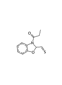 CCC(=O)N1c2ccccc2OC1C=S